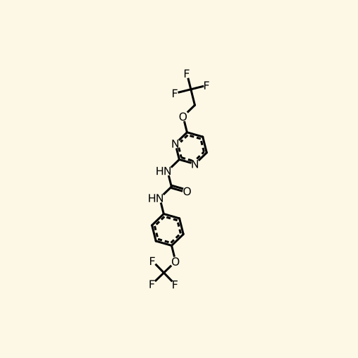 O=C(Nc1ccc(OC(F)(F)F)cc1)Nc1nccc(OCC(F)(F)F)n1